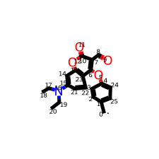 [CH2]c1ccc(Oc2c(C=O)c(=O)oc3cc(N(CC)CC)ccc23)cc1